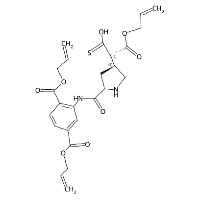 C=CCOC(=O)c1ccc(C(=O)OCC=C)c(NC(=O)C2C[C@@H]([C@@H](C(=O)OCC=C)C(O)=S)CN2)c1